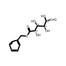 O=C[C@H](O)[C@@H](O)[C@H](O)[C@H](O)C(=O)OCc1ccccc1